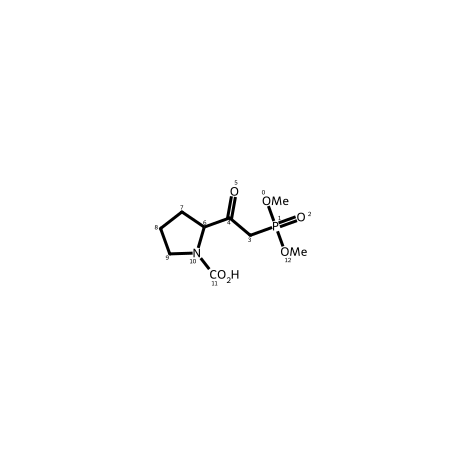 COP(=O)(CC(=O)C1CCCN1C(=O)O)OC